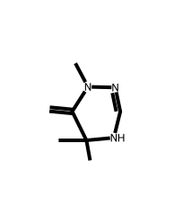 C=C1N(C)N=CNC1(C)C